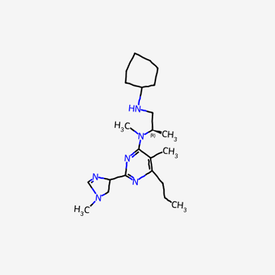 CCCc1nc(C2CN(C)C=N2)nc(N(C)[C@H](C)CNC2CCCCCC2)c1C